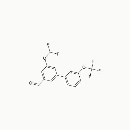 O=Cc1cc(OC(F)F)cc(-c2cccc(OC(F)(F)F)c2)c1